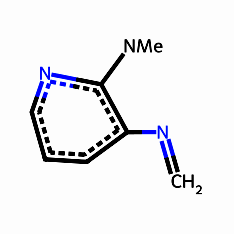 C=Nc1cccnc1NC